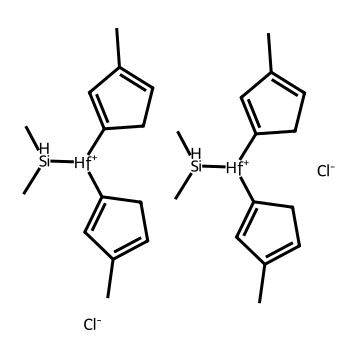 CC1=CC[C]([Hf+]([C]2=CC(C)=CC2)[SiH](C)C)=C1.CC1=CC[C]([Hf+]([C]2=CC(C)=CC2)[SiH](C)C)=C1.[Cl-].[Cl-]